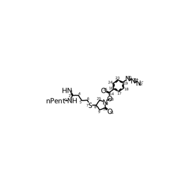 CCCCCNC(=N)CCCSC1CC(=O)N(OC(=O)c2ccc(N=[N+]=[N-])cc2)C1